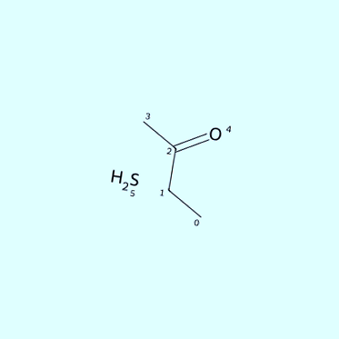 CCC(C)=O.S